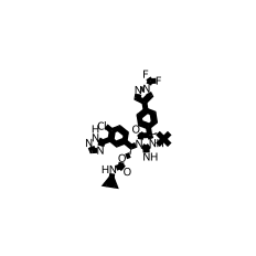 CC(C)(C)C[C@]1(c2ccc(-c3cnn(C(F)F)c3)cc2)NC(=N)N([C@H](COC(=O)NC2CC2)c2ccc(Cl)c(-c3ncn[nH]3)c2)C1=O